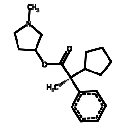 CN1CCC(OC(=O)[C@](C)(c2ccccc2)C2CCCC2)C1